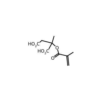 C=C(C)C(=O)OC(C)(CC(=O)O)C(=O)O